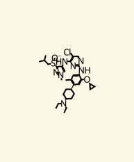 CCN(CC)[C@H]1CC[C@@H](c2cc(OC3CC3)c(Nc3ncc(Cl)c(Nc4cn(C)nc4[S+]([O-])CC(C)C)n3)cc2C)CC1